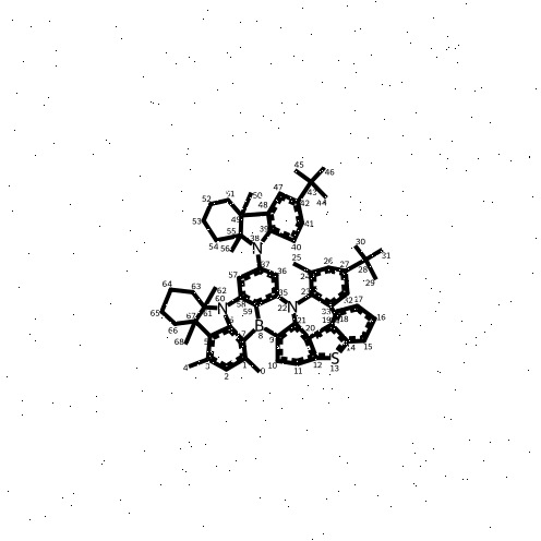 Cc1cc(C)c2c3c1B1c4ccc5sc6ccccc6c5c4N(c4c(C)cc(C(C)(C)C)cc4C)c4cc(N5c6ccc(C(C)(C)C)cc6C6(C)CCCCC56C)cc(c41)N3C1(C)CCCCC21C